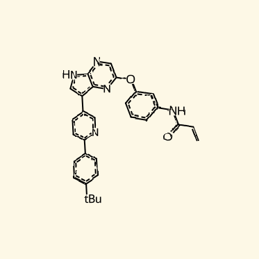 C=CC(=O)Nc1cccc(Oc2cnc3[nH]cc(-c4ccc(-c5ccc(C(C)(C)C)cc5)nc4)c3n2)c1